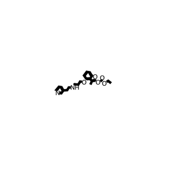 CCOC(=O)Oc1oc2cccc(OCCCNCCc3cccnc3)c2c1C